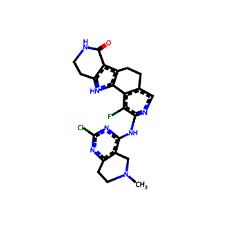 CN1CCc2nc(Cl)nc(Nc3ncc4c(c3F)-c3[nH]c5c(c3CC4)C(=O)NCC5)c2C1